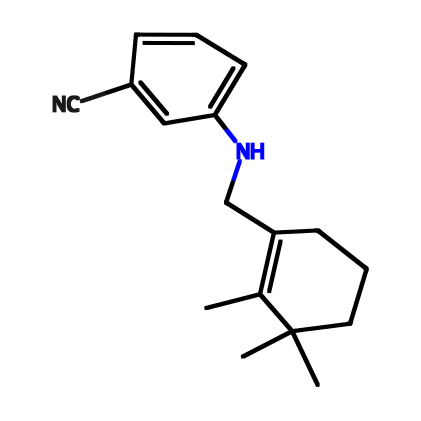 CC1=C(CNc2cccc(C#N)c2)CCCC1(C)C